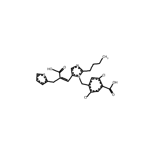 CCCCc1ncc(C=C(Cc2cccs2)C(=O)O)n1Cc1cc(Cl)c(C(=O)O)cc1Cl